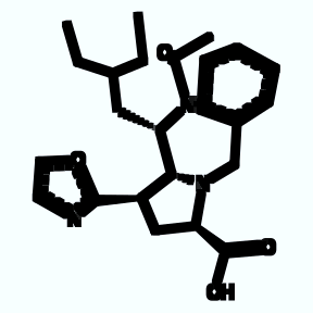 CCC(CC)C[C@H](NC(C)=O)[C@H]1[C@H](c2ncco2)C[C@H](C(=O)O)N1Cc1ccccc1